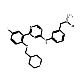 C[SH](O)Cc1cccc(Nc2ncnc(-c3cc(F)ccc3OCC3CCOCC3)n2)c1